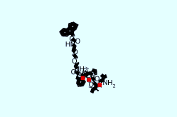 CC[C@H](C)[C@@H]([C@@H](CC(=O)N1CCC[C@H]1[C@H](OC)[C@@H](C)C(=O)N[C@@H](Cc1ccccc1)C(=O)NCCOCCOCCNC(=O)OCC1c2ccccc2-c2ccccc21)OC)N(C)C(=O)[C@@H](N)C(C)C